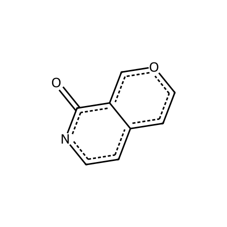 O=c1nccc2ccocc1-2